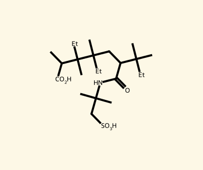 CCC(C)(C)C(CC(C)(CC)C(C)(CC)C(C)C(=O)O)C(=O)NC(C)(C)CS(=O)(=O)O